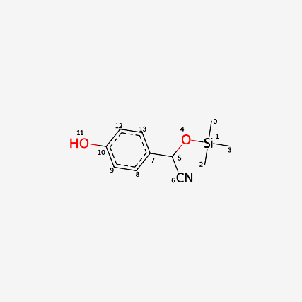 C[Si](C)(C)OC(C#N)c1ccc(O)cc1